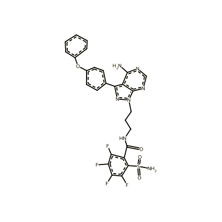 Nc1ncnc2c1c(-c1ccc(Oc3ccccc3)cc1)nn2CCCNC(=O)c1c(F)c(F)c(F)c(F)c1S(N)(=O)=O